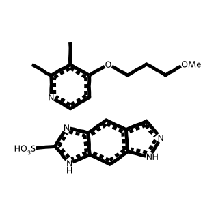 COCCCOc1ccnc(C)c1C.O=S(=O)(O)c1nc2cc3cn[nH]c3cc2[nH]1